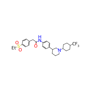 CCS(=O)(=O)c1ccc(CC(=O)Nc2ccc(C3CCCN(C4CCC(C(F)(F)F)CC4)C3)cc2)cc1